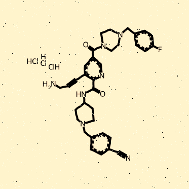 Cl.Cl.Cl.N#Cc1ccc(CN2CCC(NC(=O)c3ncc(C(=O)N4CCN(Cc5ccc(F)cc5)CC4)cc3C#CCN)CC2)cc1